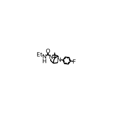 CCNC(=O)N1CC2CN(c3ccc(F)cc3)C(C1)C(C)(C)C2